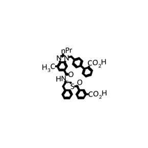 CCCc1nc2c(C)cc(C(=O)N[C@@H](CSC(=O)c3cccc(C(=O)O)c3)Cc3ccccc3)cc2n1Cc1ccc(-c2ccccc2C(=O)O)cc1